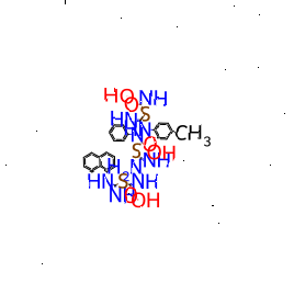 Cc1ccc(NC(=N)SC(=N)OO)cc1.N=C(N)SC(=Nc1ccccc1)OO.N=C(Nc1cccc2ccccc12)SC(=N)OO